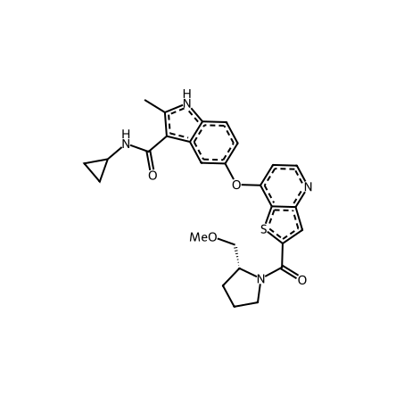 COC[C@H]1CCCN1C(=O)c1cc2nccc(Oc3ccc4[nH]c(C)c(C(=O)NC5CC5)c4c3)c2s1